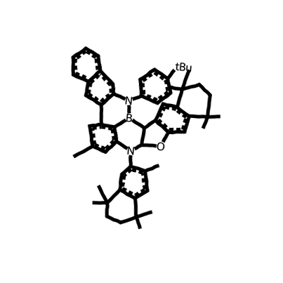 Cc1cc2c3c(c1)N(c1cc4c(cc1C)C(C)(C)CCC4(C)C)C1Oc4cc5c(cc4C1B3N(c1ccc(C(C)(C)C)cc1)c1cc3ccccc3cc1-2)C(C)(C)CCC5(C)C